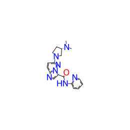 CN(C)[C@H]1CCN(c2ccc3ncc(C(=O)Nc4ccccn4)n3n2)C1